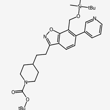 CC(C)(C)OC(=O)N1CCC(CCc2noc3c(CO[Si](C)(C)C(C)(C)C)c(-c4cccnc4)ccc23)CC1